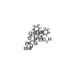 COC(=O)C1CC(C(=S)c2ccccc2)(C(=S)c2ccccc2)C(C(=O)O)N1C(=O)CC(=O)OC(C)(C)C